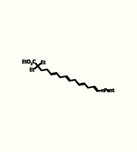 CCCCCC=CCC=CCC=CCC=CCCC(CC)(CC)C(=O)OCC